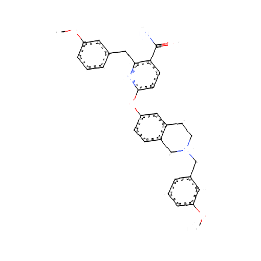 COc1cccc(Cc2nc(Oc3ccc4c(c3)CCN(Cc3cccc(OC)c3)C4)ccc2C(N)=O)c1